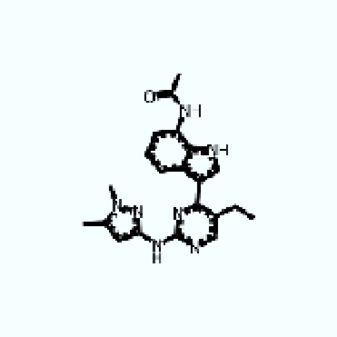 CCc1cnc(Nc2cc(C)n(C)n2)nc1-c1c[nH]c2c(NC(C)=O)cccc12